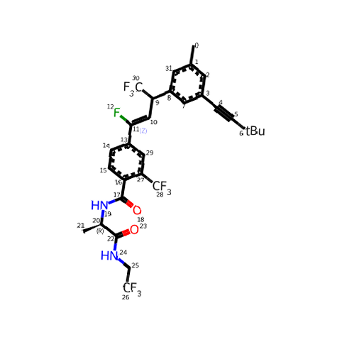 Cc1cc(C#CC(C)(C)C)cc(C(/C=C(\F)c2ccc(C(=O)N[C@H](C)C(=O)NCC(F)(F)F)c(C(F)(F)F)c2)C(F)(F)F)c1